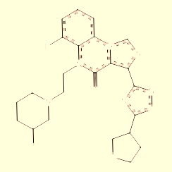 O=c1c2c(-c3noc(C4CCOC4)n3)ncn2c2cccc(F)c2n1CCN1CCCC(O)C1